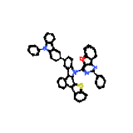 C1=c2c(n(-c3ccccc3)c3ccccc23)=CCC1c1ccc2c(c1)c1c3ccccc3c3c4ccccc4sc3c1n2-c1nc(-c2ccccc2)nc2c1oc1ccccc12